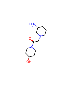 N[C@@H]1CCCN(CC(=O)N2CCC(O)CC2)C1